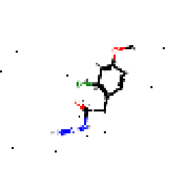 COc1ccc(CC(=O)N=[N+]=[N-])c(Br)c1